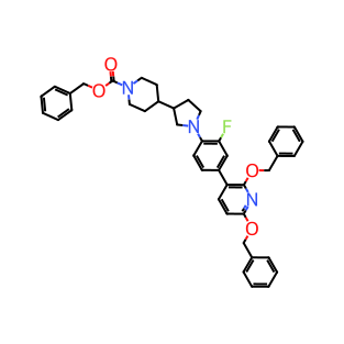 O=C(OCc1ccccc1)N1CCC(C2CCN(c3ccc(-c4ccc(OCc5ccccc5)nc4OCc4ccccc4)cc3F)C2)CC1